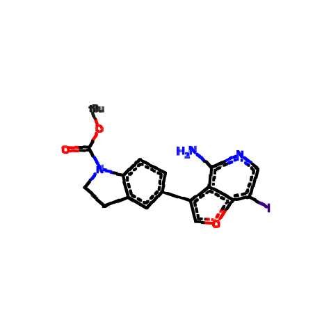 CC(C)(C)OC(=O)N1CCc2cc(-c3coc4c(I)cnc(N)c34)ccc21